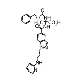 CC(NC(=O)OCc1ccccc1)(NC(=O)c1ccc2c(cnn2CCCNc2ccccn2)c1)C(=O)O